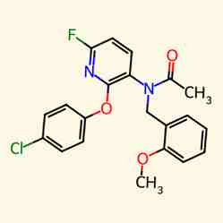 COc1ccccc1CN(C(C)=O)c1ccc(F)nc1Oc1ccc(Cl)cc1